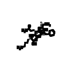 C[C@H](N)C(=O)N[C@@H](Cc1ccccc1)C(=O)N[C@@H](CCC(N)=O)C(=O)N[C@@H](CCCCN)C(=O)O